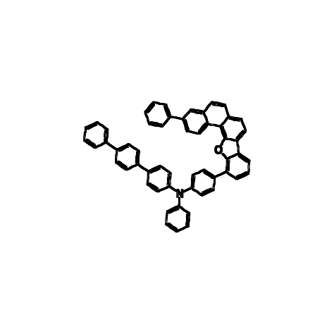 c1ccc(-c2ccc(-c3ccc(N(c4ccccc4)c4ccc(-c5cccc6c5oc5c6ccc6ccc7cc(-c8ccccc8)ccc7c65)cc4)cc3)cc2)cc1